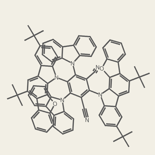 CC(C)(C)c1ccc2c(c1)c1cc(C(C)(C)C)c3c4ccccc4oc3c1n2-c1c(C#N)c(-n2c3ccccc3c3ccccc32)c(-n2c3ccc(C(C)(C)C)cc3c3cc(C(C)(C)C)c4c5ccccc5oc4c32)c(-n2c3ccccc3c3ccccc32)c1C#N